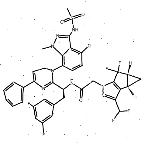 Cn1nc(NS(C)(=O)=O)c2c(Cl)ccc(N3CC=C(c4ccccc4)N=C3[C@H](Cc3cc(F)cc(F)c3)NC(=O)Cn3nc(C(F)F)c4c3C(F)(F)[C@@H]3C[C@H]43)c21